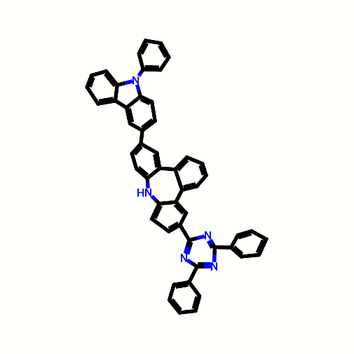 c1ccc(-c2nc(-c3ccccc3)nc(-c3ccc4c(c3)-c3ccccc3-c3cc(-c5ccc6c(c5)c5ccccc5n6-c5ccccc5)ccc3N4)n2)cc1